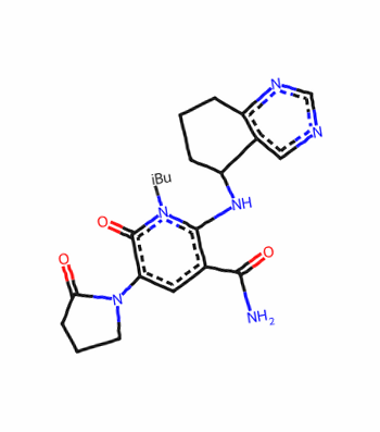 CCC(C)n1c(NC2CCCc3ncncc32)c(C(N)=O)cc(N2CCCC2=O)c1=O